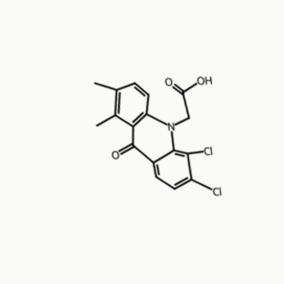 Cc1ccc2c(c1C)c(=O)c1ccc(Cl)c(Cl)c1n2CC(=O)O